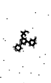 CCC(C)(C)Cc1cc(-c2cccc(C)c2)nc(N2CCOCC2)n1